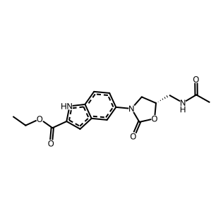 CCOC(=O)c1cc2cc(N3C[C@H](CNC(C)=O)OC3=O)ccc2[nH]1